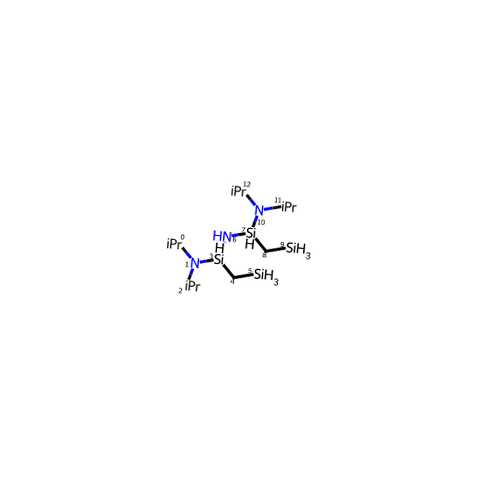 CC(C)N(C(C)C)[SiH](C[SiH3])N[SiH](C[SiH3])N(C(C)C)C(C)C